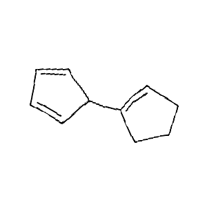 C1=CC(C2=CCCC2)C=C1